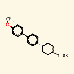 CCCCCC[C@H]1CC[C@H](c2ccc(-c3ccc(OC(F)(F)F)cc3)cc2)CC1